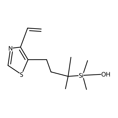 C=Cc1ncsc1CCC(C)(C)[Si](C)(C)O